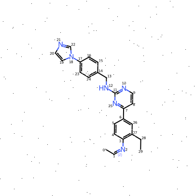 C/C=N\c1ccc(-c2ccnc(NCc3ccc(-n4ccnc4)cc3)n2)cc1CC